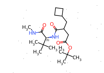 CNC(=O)[C@@H](NC(=O)C(CC(=O)OC(C)(C)C)CC1CCC1)C(C)(C)C